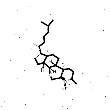 CC(C)CCC[C@@H](C)[C@H]1CC[C@H]2[C@@H]3CCC4=[N+]([O-])C(C)CC[C@]4(C)[C@H]3CC[C@]12C